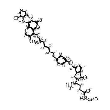 COc1ccc2c(Nc3c(Cl)cncc3Cl)cc(=O)oc2c1OCCCCCCCc1ccc(OCc2scc3c2CN(C(C)CCC(=O)NC=O)C3=O)cc1